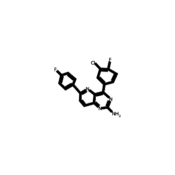 Nc1nc(-c2ccc(F)c(Cl)c2)c2nc(-c3ccc(F)cc3)ccc2n1